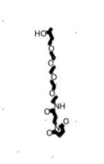 CC(O)CCOCCOCCOCCOCCNC(=O)CCN1C(=O)C=CC1=O